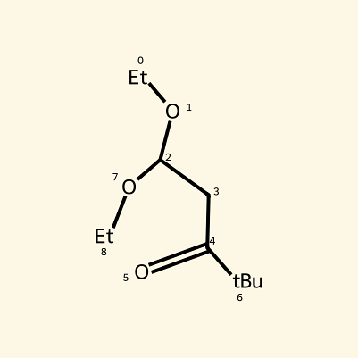 CCOC(CC(=O)C(C)(C)C)OCC